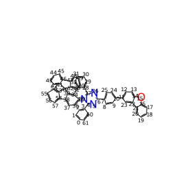 c1ccc(-c2nc(-c3ccc(-c4ccc5oc6ccccc6c5c4)cc3)nc(-c3ccccc3-c3cccc4c3C3(c5ccccc5-c5ccccc53)c3ccccc3-4)n2)cc1